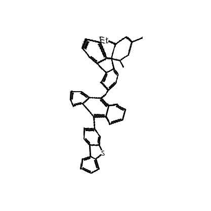 CCC1CC(C)CC(C)C12c1ccccc1-c1cc(-c3c4ccccc4c(-c4ccc5c(c4)sc4ccccc45)c4ccccc34)ccc12